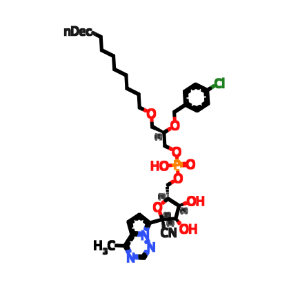 CCCCCCCCCCCCCCCCCCOC[C@H](COP(=O)(O)OC[C@H]1O[C@@](C#N)(c2ccc3c(C)ncnn23)[C@H](O)[C@@H]1O)OCc1ccc(Cl)cc1